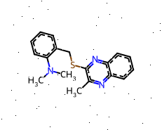 Cc1nc2ccccc2nc1SCc1ccccc1N(C)C